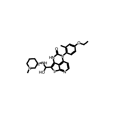 CCOc1ccc(N2C(=O)Nc3c(C(O)N[C@@H]4CCCN(C)C4)sc4nccc2c34)c(C)c1